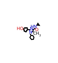 CC1C(C(=O)NC2CC2)N=C(c2ccc(O)cc2)N1CC1CCCCC1